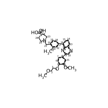 COCCOc1ccc(-c2cnc3cccc(-c4ccc(CN5CCS(O)(O)CC5)c(C)c4)c3n2)cc1OC